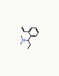 C=Cc1ccccc1C(CC)N(C)C